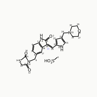 CS(=O)(=O)O.O=C1Nc2ccc(CN3C(=O)CSC3=O)cc2/C1=C/c1cc(CN2CCOCC2)c[nH]1